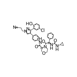 N#CCCn1cc(-c2ccc(NC(=O)[C@@H]3COCCN3C(=O)[C@H](NC(=O)NC3CC3)c3ccccc3)cc2)c(-c2cc(Cl)ccc2O)n1